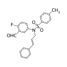 Cc1ccc(S(=O)(=O)N(CC=Cc2ccccc2)c2ccc(F)c(C=O)c2)cc1